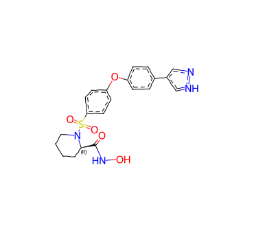 O=C(NO)[C@H]1CCCCN1S(=O)(=O)c1ccc(Oc2ccc(-c3cn[nH]c3)cc2)cc1